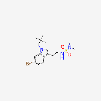 CN(C)S(=O)(=O)NCCc1cn(CC(C)(C)C)c2cc(Br)ccc12